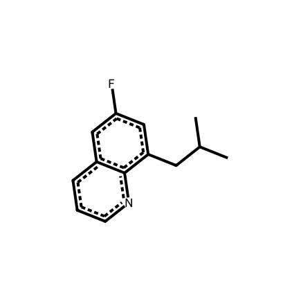 CC(C)Cc1cc(F)cc2cccnc12